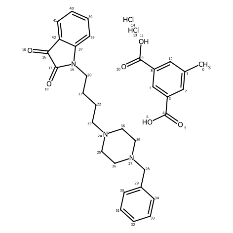 Cc1cc(C(=O)O)cc(C(=O)O)c1.Cl.Cl.O=C1C(=O)N(CCCCN2CCN(Cc3ccccc3)CC2)c2ccccc21